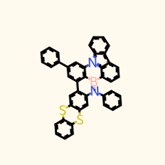 c1ccc(-c2cc3c4c(c2)-n2c5ccccc5c5cccc(c52)B4N(c2ccccc2)c2cc4c(cc2-3)Sc2ccccc2S4)cc1